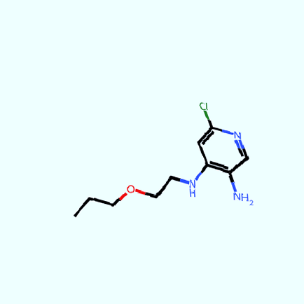 CCCOCCNc1cc(Cl)ncc1N